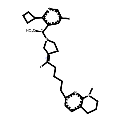 O=C(O)[C@@H](c1cc(I)cnc1C1CCC1)N1CC/C(=C(/F)CCCCc2ccc3c(n2)N(I)CCC3)C1